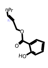 CCC/C=C/COC(=O)c1ccccc1O